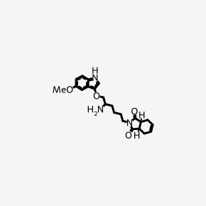 COc1ccc2[nH]cc(OCC(N)CCCCN3C(=O)[C@H]4CC=CC[C@H]4C3=O)c2c1